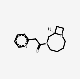 O=C(Cc1ccccn1)N1CCCCN2CC[C@@H]2C1